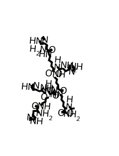 CC(=O)NC(CCCCNC(=O)C(CCCCNC(=O)C(CCCCNC(=O)C(N)Cc1c[nH]cn1)NC(=O)C(N)Cc1c[nH]cn1)NC(=O)[C@H](CCCCNC(=O)C(N)Cc1c[nH]cn1)NC(=O)C(N)Cc1c[nH]cn1)C(N)=O